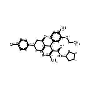 CCOc1cc(C2C(C(=O)OC3CCCC3)=C(C)NC3=C2C(=O)CC(c2ccc(Cl)cc2)C3)ccc1O